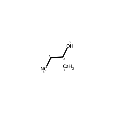 N#CCCO.[CaH2]